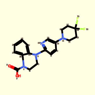 O=C(O)N1CCN(c2ccc(N3CCC(F)(F)CC3)cn2)c2ccccc21